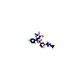 Cc1nc2c(-c3ccc(F)cc3F)nc([C@@H]3CCO[C@H](c4cnn(C5CC5)c4)C3)nc2c(=O)n1C